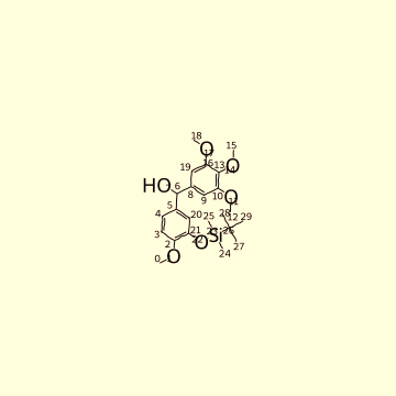 COc1ccc(C(O)c2cc(OC)c(OC)c(OC)c2)cc1O[Si](C)(C)C(C)(C)C